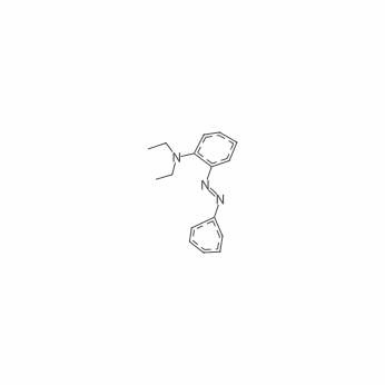 CCN(CC)c1ccccc1N=Nc1ccccc1